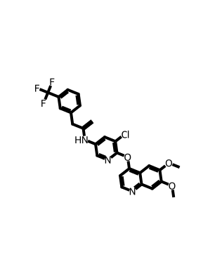 C=C(Cc1cccc(C(F)(F)F)c1)Nc1cnc(Oc2ccnc3cc(OC)c(OC)cc23)c(Cl)c1